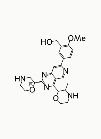 COc1ccc(-c2cc3nc([C@@H]4CNCCO4)nc(C4OCCNC4C)c3cn2)cc1CO